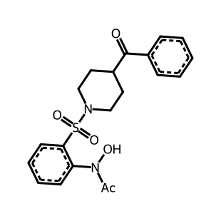 CC(=O)N(O)c1ccccc1S(=O)(=O)N1CCC(C(=O)c2ccccc2)CC1